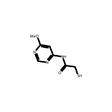 COc1cc(NC(=O)CS)ncn1